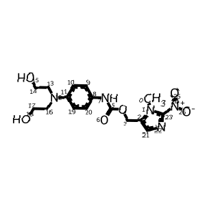 Cn1c(COC(=O)Nc2ccc(N(CCO)CCO)cc2)cnc1[N+](=O)[O-]